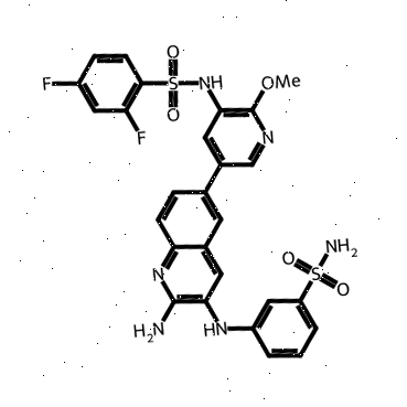 COc1ncc(-c2ccc3nc(N)c(Nc4cccc(S(N)(=O)=O)c4)cc3c2)cc1NS(=O)(=O)c1ccc(F)cc1F